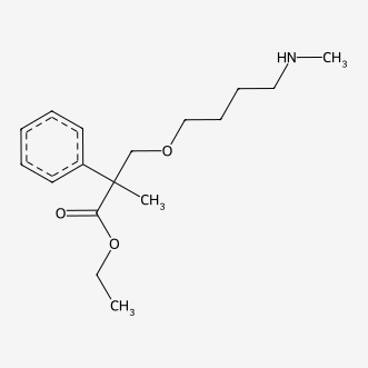 CCOC(=O)C(C)(COCCCCNC)c1ccccc1